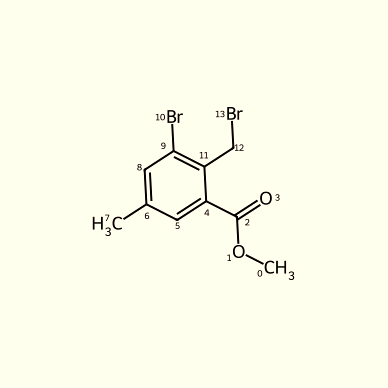 COC(=O)c1cc(C)cc(Br)c1CBr